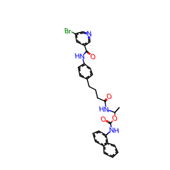 CC(NC(=O)CCCc1ccc(NC(=O)c2cncc(Br)c2)cc1)OC(=O)Nc1cccc2ccccc12